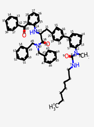 CCCCCCCNC(=O)N(C)c1cccc(-c2ccc(CC(Nc3ccccc3C(=O)c3ccccc3)C(=O)N(Cc3ccccc3)Cc3ccccc3)cc2)c1